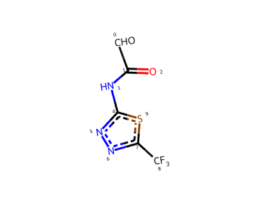 O=CC(=O)Nc1nnc(C(F)(F)F)s1